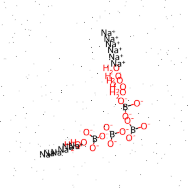 O.O.O.O.O.O.O.[Na+].[Na+].[Na+].[Na+].[Na+].[Na+].[Na+].[Na+].[Na+].[Na+].[Na+].[Na+].[O-]B([O-])[O-].[O-]B([O-])[O-].[O-]B([O-])[O-].[O-]B([O-])[O-]